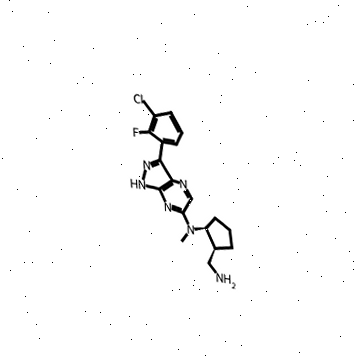 CN(c1cnc2c(-c3cccc(Cl)c3F)n[nH]c2n1)[C@H]1CCC[C@H]1CN